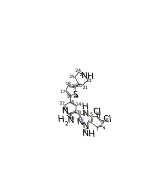 N=N/N=C(\Nc1cccc(Cl)c1Cl)c1cc(-c2ccc(C3CCNCC3)s2)cnc1N